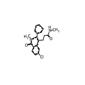 CNC(=O)CCc1c(-c2ccccc2)n(C)c(=O)c2ccc(Cl)cc12